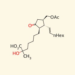 CCCCCCC=C[C@H]1[C@H](COC(C)=O)CC(=O)[C@@H]1CCCCCC(C)(O)C(=O)O